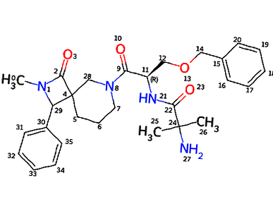 CN1C(=O)C2(CCCN(C(=O)[C@@H](COCc3ccccc3)NC(=O)C(C)(C)N)C2)C1c1ccccc1